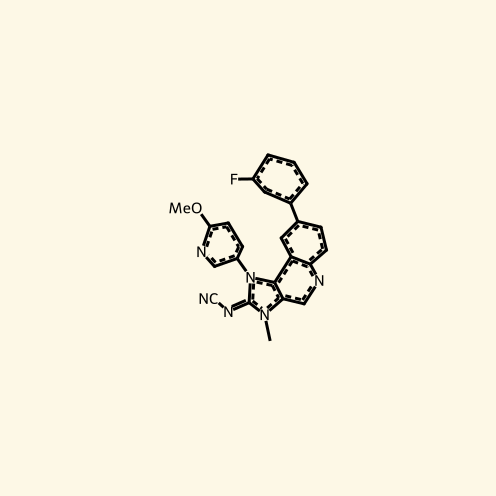 COc1ccc(-n2c(=NC#N)n(C)c3cnc4ccc(-c5cccc(F)c5)cc4c32)cn1